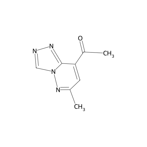 CC(=O)c1cc(C)nn2cnnc12